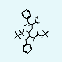 CC(C)(C)OC(=O)NC(Cc1ccccc1)C(CC(C(=O)O)[C@@H](F)c1ccccc1)O[Si](C)(C)C(C)(C)C